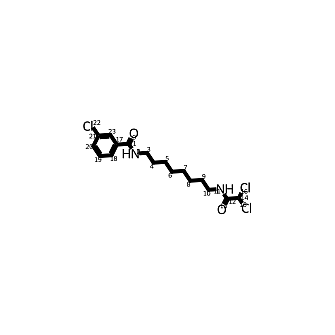 O=C(NCCCCCCCCNC(=O)C(Cl)Cl)c1cccc(Cl)c1